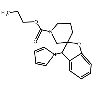 CCCOC(=O)N1CCCC2(C1)Oc1ccccc1C2n1cccc1